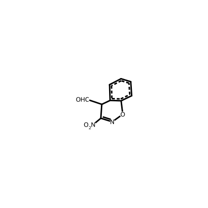 O=CC1C([N+](=O)[O-])=NOc2ccccc21